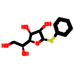 OC[C@@H](O)[C@H]1O[C@H](Sc2ccccc2)[C@H](O)[C@H]1O